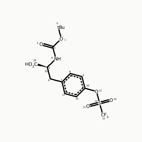 CC(C)(C)OC(=O)N[C@@H](Cc1ccc(OS(=O)(=O)C(F)(F)F)cc1)C(=O)O